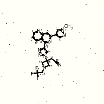 Cn1cc(-c2cc3ncccc3c(-c3cn(C4(CC#N)CN(CC(F)(F)F)C4)nn3)n2)cn1